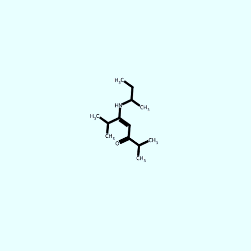 CCC(C)NC(=CC(=O)C(C)C)C(C)C